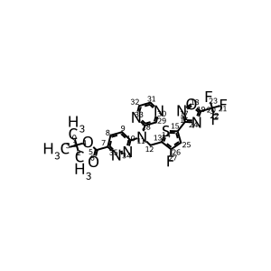 CC(C)(C)OC(=O)c1ccc(N(Cc2sc(-c3noc(C(F)(F)F)n3)cc2F)c2cnccn2)nn1